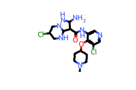 CN1CCC(Oc2c(Cl)cncc2NC(=O)C2C(N)NN3CC(Cl)CNC23)CC1